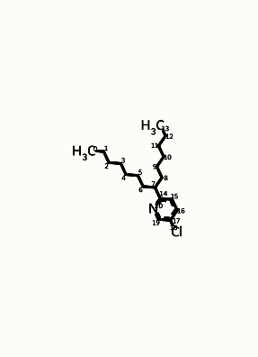 CCCCCCCC(CCCCCC)c1ccc(Cl)cn1